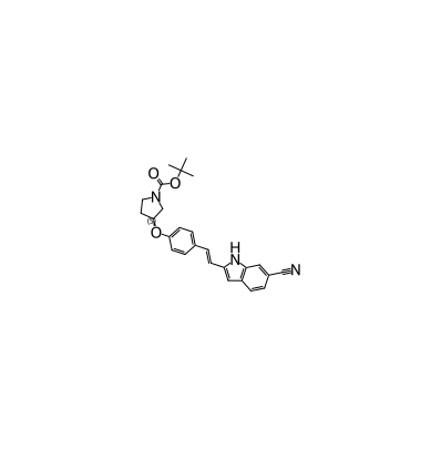 CC(C)(C)OC(=O)N1CC[C@H](Oc2ccc(C=Cc3cc4ccc(C#N)cc4[nH]3)cc2)C1